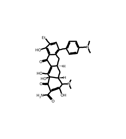 CCc1cc(-c2ccc(N(C)C)cc2)c2c(c1O)C(=O)C1=C(O)[C@@]3(O)C(=O)C(C(N)=O)=C(O)C(N(C)C)[C@H]3C[C@@H]1C2